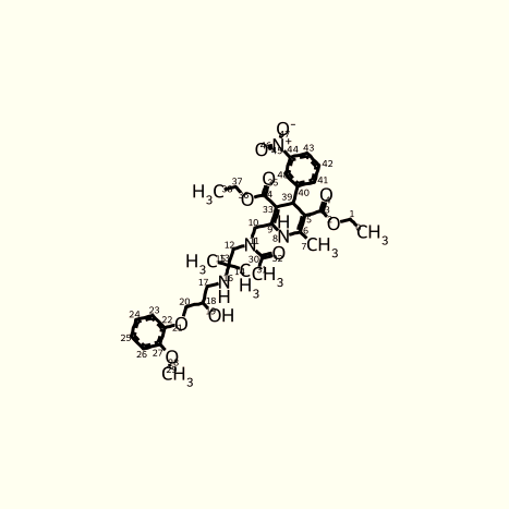 CCOC(=O)C1=C(C)NC(CN(CC(C)(C)NCC(O)COc2ccccc2OC)C(C)=O)=C(C(=O)OCC)C1c1cccc([N+](=O)[O-])c1